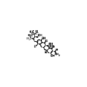 CN(Cc1cc(O)c2c(c1Cl)CC1C[C@H]3CC(O)=C(C(N)=O)C(=O)[C@@]3(O)C(O)=C1C2=O)[C@H](CO)C(C)(C)C